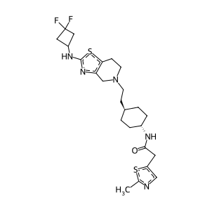 Cc1ncc(CC(=O)N[C@H]2CC[C@H](CCN3CCc4sc(NC5CC(F)(F)C5)nc4C3)CC2)s1